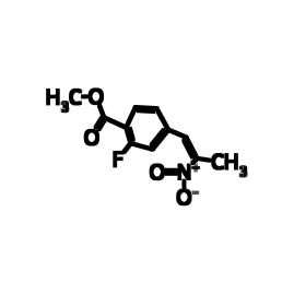 COC(=O)c1ccc(C=C(C)[N+](=O)[O-])cc1F